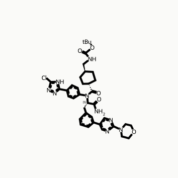 CC(C)(C)OC(=O)NC[C@H]1CC[C@H](C(=O)N(c2ccc(-c3nnc(Cl)[nH]3)cc2)[C@@H](Cc2cccc(-c3cnc(N4CCOCC4)nc3)c2)C(N)=O)CC1